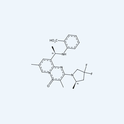 Cc1cc([C@@H](C)Nc2ccccc2C(=O)O)c2nc(N3CC(F)(F)C[C@H]3C)c(C)c(=O)n2c1